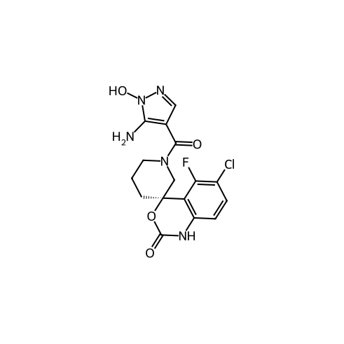 Nc1c(C(=O)N2CCC[C@@]3(C2)OC(=O)Nc2ccc(Cl)c(F)c23)cnn1O